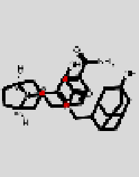 NC(=O)c1cccc([C@H]2C[C@H]3CC[C@@H](C2)N3CCN(CC2C3CC4CC2CC(O)(C4)C3)C(=O)CO)c1